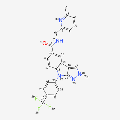 Cc1cccc(CNC(=O)c2ccc3c(c2)c2cn(C)nc2n3-c2ccc(C(F)(F)F)cc2)n1